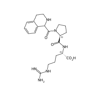 N=C(N)NCCC[C@H](NC(=O)[C@@H]1CCCN1C(=O)C1NCCc2ccccc21)C(=O)O